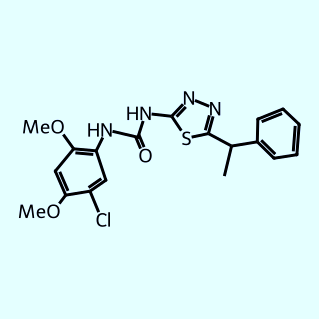 COc1cc(OC)c(NC(=O)Nc2nnc(C(C)c3ccccc3)s2)cc1Cl